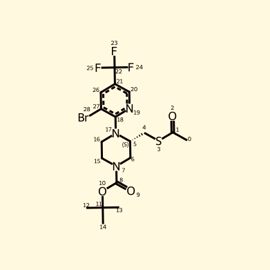 CC(=O)SC[C@@H]1CN(C(=O)OC(C)(C)C)CCN1c1ncc(C(F)(F)F)cc1Br